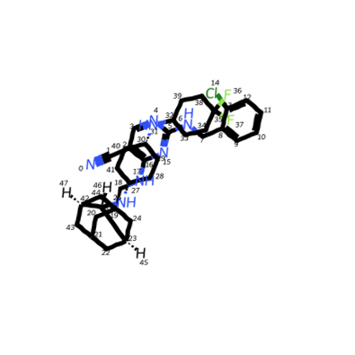 N#Cc1cnc(NCc2ccccc2Cl)nc1NC[C@]12CC3C[C@H](C1)[C@@H](N[C@H]1CC[C@@H](NC4CCC(F)(F)CC4)CC1)[C@@H](C3)C2